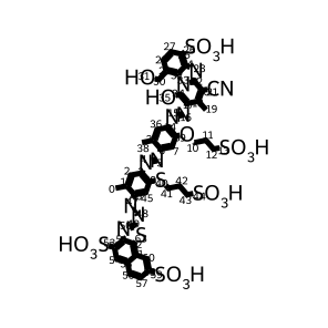 Cc1cc(N=Nc2cc(OCCCS(=O)(=O)O)c(N=Nc3c(C)c(C#N)c4nc5c(S(=O)(=O)O)ccc(CO)c5n4c3O)cc2C)c(SCCCS(=O)(=O)O)cc1N=Nc1nc2c(S(=O)(=O)O)cc3ccc(S(=O)(=O)O)cc3c2s1